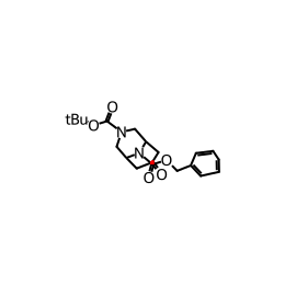 CC(C)(C)OC(=O)N1CC2CC(=O)CC(C1)N2C(=O)OCc1ccccc1